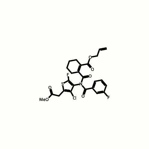 C=CCOC(=O)C1=C(C(=O)N(C(=O)c2cccc(F)c2)c2c(F)sc(CC(=O)OC)c2Cl)CCCC1